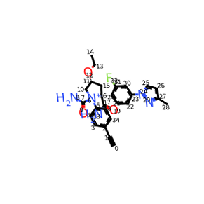 C#Cc1ccc([N+]2(C(N)=O)C[C@H](OCC)C[C@]2(C(N)=O)c2ccc(-n3ccc(C)n3)cc2F)cc1